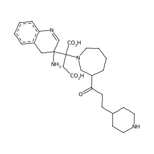 NC1(C(CC(=O)O)(C(=O)O)N2CCCCC(C(=O)CCC3CCNCC3)C2)C=Nc2ccccc2C1